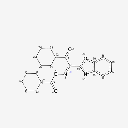 O=C(/C(=N\OC(=O)N1CCCCC1)c1nc2ccccc2o1)C1CCCCC1